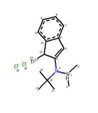 C[SiH](C)N(C1=Cc2ccccc2[CH]1[Ti+2])C(C)(C)C.[Cl-].[Cl-]